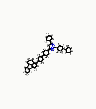 c1ccc(-c2ccc(-c3nc(-c4ccccc4)cc(-c4ccc(-c5ccc(-c6ccc7c8c(cccc68)-c6ccccc6-7)cc5)cc4)n3)cc2)cc1